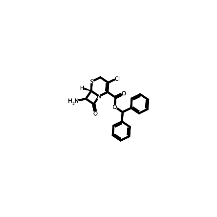 NC1C(=O)N2C(C(=O)OC(c3ccccc3)c3ccccc3)=C(Cl)CS[C@@H]12